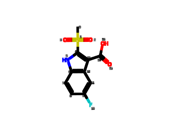 CS(=O)(=O)c1[nH]c2ccc(F)cc2c1C(=O)O